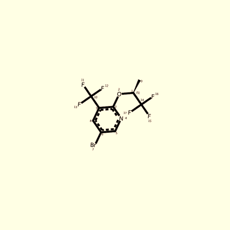 C[C@H](Oc1ncc(Br)cc1C(F)(F)F)C(F)(F)F